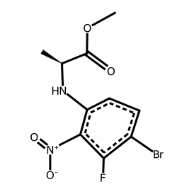 COC(=O)[C@H](C)Nc1ccc(Br)c(F)c1[N+](=O)[O-]